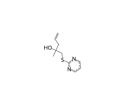 C=CCC(C)(O)CSc1ncccn1